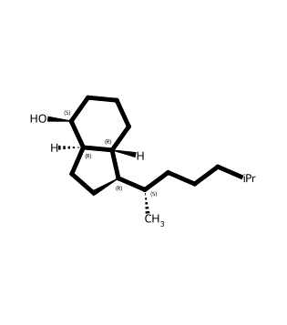 CC(C)CCC[C@H](C)[C@H]1CC[C@@H]2[C@@H]1CCC[C@@H]2O